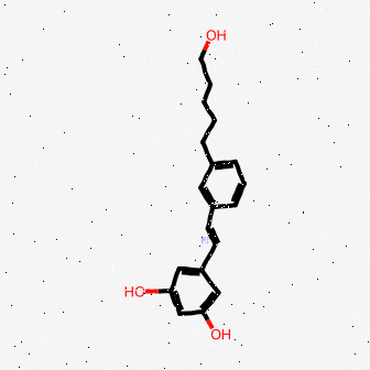 OCCCCCc1cccc(/C=C/c2cc(O)cc(O)c2)c1